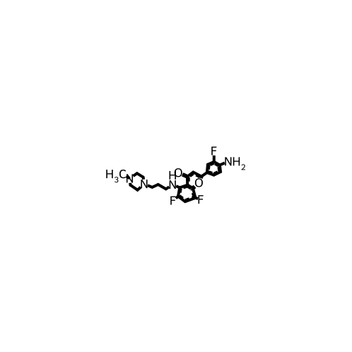 CN1CCN(CCCNc2c(F)cc(F)c3oc(-c4ccc(N)c(F)c4)cc(=O)c23)CC1